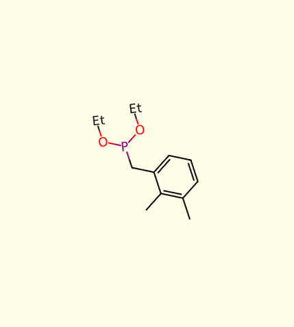 CCOP(Cc1cccc(C)c1C)OCC